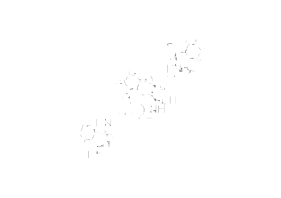 CC1=C(C(=O)OCCNC(=O)c2ccccc2C(=O)O)C(c2cccc(F)c2)C(C(=O)OCCNC(=O)c2ccccc2C(=O)O)=C(C)N1